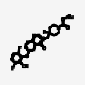 CC(C)(C)OC(=O)N1CCC(F)(Cn2cnc3ccc(Oc4c(F)ccc(F)c4C#N)cc3c2=O)CC1